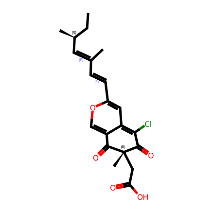 CC[C@H](C)/C=C(C)/C=C/C1=CC2=C(Cl)C(=O)[C@](C)(CC(=O)O)C(=O)C2=CO1